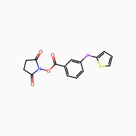 O=C(ON1C(=O)CCC1=O)c1cccc([I+]c2cccs2)c1